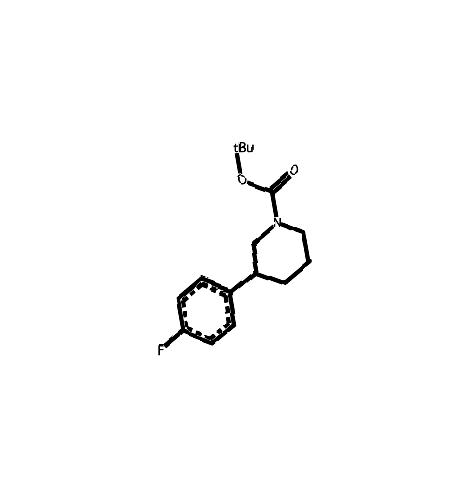 CC(C)(C)OC(=O)N1CCCC(c2ccc(F)cc2)C1